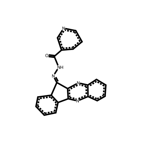 O=C(NN=C1c2ccccc2-c2nc3ccccc3nc21)c1cccnc1